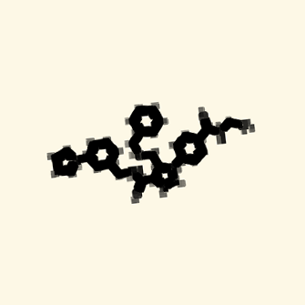 O=C(NCC(F)(F)F)c1ccc(-n2nnc(C(=O)NCc3cccc(-n4cccc4)c3)c2COCc2ccccc2)cc1